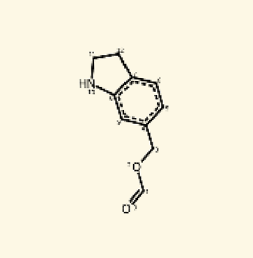 O=COCc1ccc2c(c1)NCC2